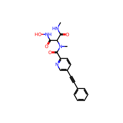 CNC(=O)C(C(=O)NO)N(C)C(=O)c1ccc(C#Cc2ccccc2)cn1